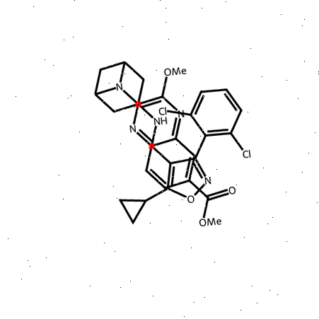 COC(=O)c1ccc2nc(N3C4CC(NCc5c(-c6c(Cl)cccc6Cl)noc5C5CC5)CC3C4)c(OC)nc2c1